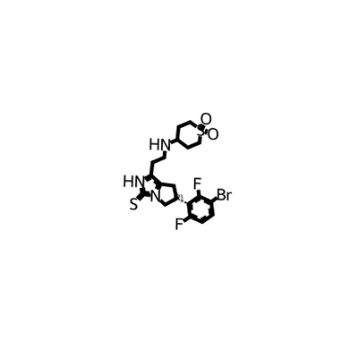 O=S1(=O)CCC(NCCc2[nH]c(=S)n3c2C[C@H](c2c(F)ccc(Br)c2F)C3)CC1